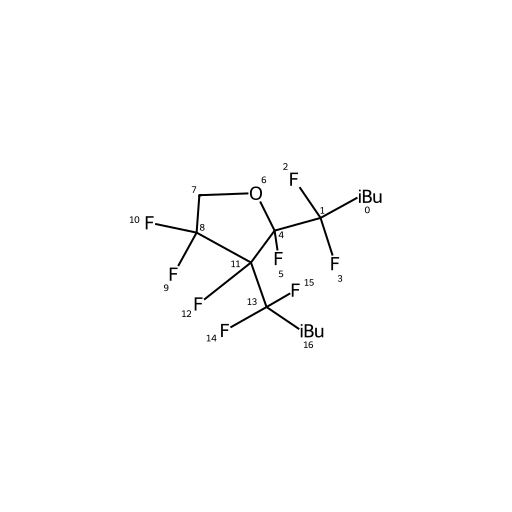 CCC(C)C(F)(F)C1(F)OCC(F)(F)C1(F)C(F)(F)C(C)CC